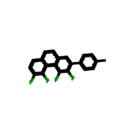 Cc1ccc(-c2cc3ccc4ccc(F)c(F)c4c3c(F)c2F)cc1